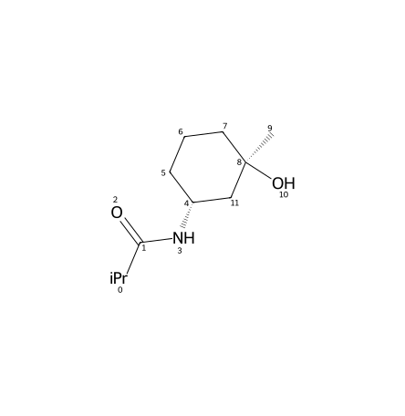 CC(C)C(=O)N[C@@H]1CCC[C@@](C)(O)C1